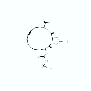 CC(C)(C)OC(=O)NC1CCCCCC=CCCC(C(=O)O)NC(=O)C2CC(O)C[N+]2C1=O